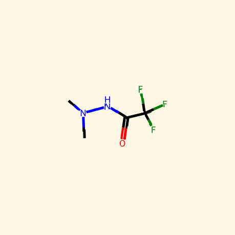 CN(C)NC(=O)C(F)(F)F